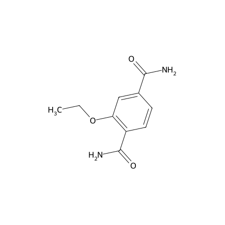 CCOc1cc(C(N)=O)ccc1C(N)=O